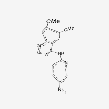 COc1cc2ncnc(Nc3ccc(N)cn3)c2cc1OC